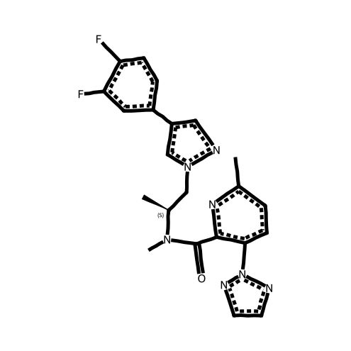 Cc1ccc(-n2nccn2)c(C(=O)N(C)[C@@H](C)Cn2cc(-c3ccc(F)c(F)c3)cn2)n1